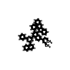 C=C/C=C(\C=C/C)c1ccc2c(-c3nc(-c4ccccc4)nc(-c4cccc5ccccc45)n3)cc(-c3ccccc3)c(-n3c4ccccc4c4cc5ccccc5cc43)c2c1